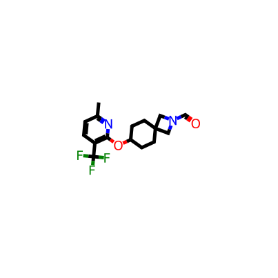 Cc1ccc(C(F)(F)F)c(OC2CCC3(CC2)CN(C=O)C3)n1